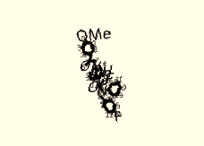 COc1ccc(C(=O)C[N+]23CCC(CC2)[C@@H](OC(=O)N(Cc2ccc(F)cc2)c2ccccc2F)C3)cc1